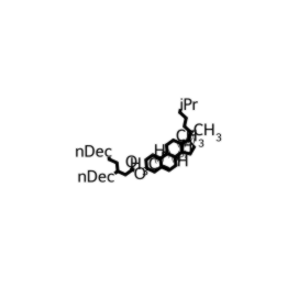 CCCCCCCCCCCCC(CCCCCCCCCC)CC(=O)OC1CC[C@@]2(C)C(=CC[C@H]3[C@@H]4CC[C@H]([C@H](C)CCCC(C)C)[C@@]4(C)CC[C@@H]32)C1